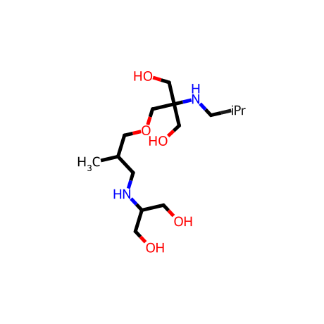 CC(C)CNC(CO)(CO)COCC(C)CNC(CO)CO